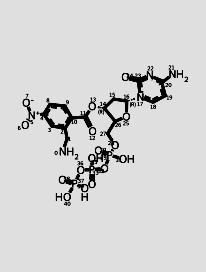 NCc1cc([N+](=O)[O-])ccc1C(=O)O[C@@H]1C[C@H](n2ccc(N)nc2=O)OC1COP(=O)(O)OP(=O)(O)OP(=O)(O)O